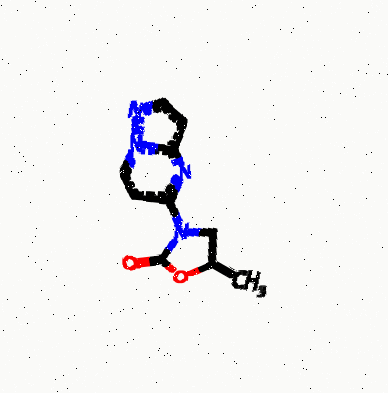 CC1CN(c2ccn3nccc3n2)C(=O)O1